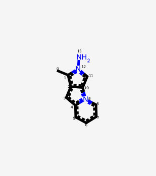 Cc1c2cc3ccccn3c2cn1N